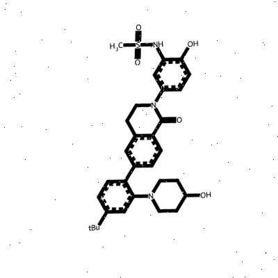 CC(C)(C)c1ccc(-c2ccc3c(c2)CCN(c2ccc(O)c(NS(C)(=O)=O)c2)C3=O)c(N2CCC(O)CC2)c1